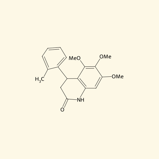 COc1cc2c(c(OC)c1OC)C(c1ccccc1C)CC(=O)N2